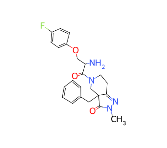 CN1N=C2CCN(C(=O)C(N)COc3ccc(F)cc3)CC2(Cc2ccccc2)C1=O